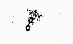 C[C@H](F)C(=O)N1CC2(CC2)[C@H](NS(=O)(=O)CF)[C@@H]1Cc1cccc(-c2ccccc2)c1F